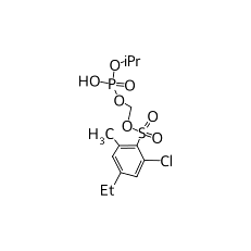 CCc1cc(C)c(S(=O)(=O)OCOP(=O)(O)OC(C)C)c(Cl)c1